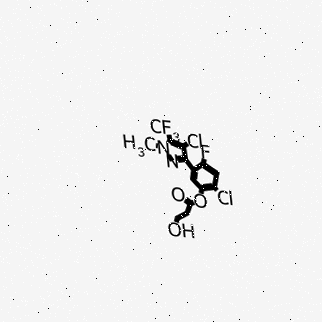 Cn1nc(-c2cc(OC(=O)CCO)c(Cl)cc2F)c(Cl)c1C(F)(F)F